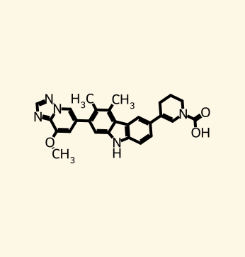 COc1cc(-c2cc3[nH]c4ccc(C5=CN(C(=O)O)CCC5)cc4c3c(C)c2C)cn2ncnc12